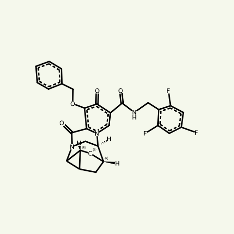 O=C(NCc1c(F)cc(F)cc1F)c1cn2c(c(OCc3ccccc3)c1=O)C(=O)N1C[C@@H]2[C@@H]2CC3C1[C@@H]3C2